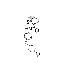 COc1ccc(Sc2ccc(NC(=O)c3ccc[nH]c3=S)cc2)cc1